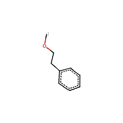 [C]OCCc1ccccc1